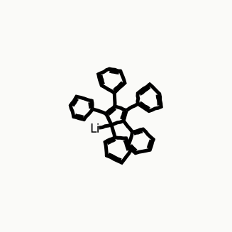 [Li][C]1(c2ccccc2)C(c2ccccc2)=C(c2ccccc2)C(c2ccccc2)=C1c1ccccc1